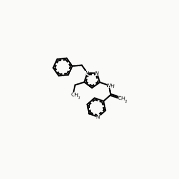 C=C(Nc1cc(CC)n(Cc2ccccc2)n1)c1cccnc1